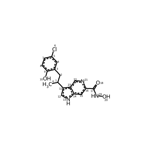 CC(Cc1cc(Cl)ccc1O)c1c[nH]c2cc(C(=O)NO)ncc12